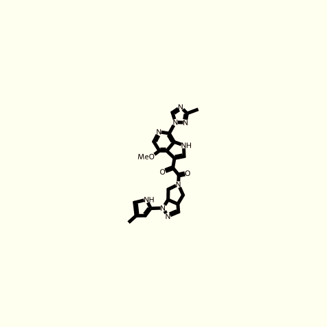 COc1cnc(-n2cnc(C)n2)c2[nH]cc(C(=O)C(=O)N3CC4C=NN(c5cc(C)c[nH]5)C4C3)c12